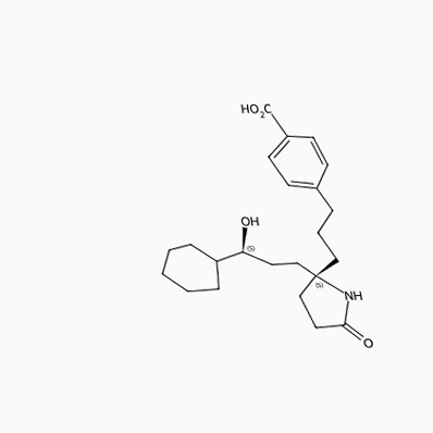 O=C1CC[C@](CCCc2ccc(C(=O)O)cc2)(CC[C@H](O)C2CCCCC2)N1